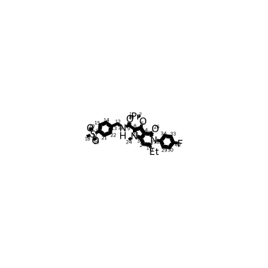 CCc1cc2c(c(OC(C)C)c(C(=O)NCc3ccc(S(C)(=O)=O)cc3)n2C)c(=O)n1-c1ccc(F)cc1